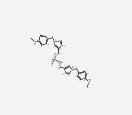 COc1ccc(Cn2cnc(CO[PH](=O)OCc3cn(Cc4ccc(OC)cc4)cn3)c2)cc1